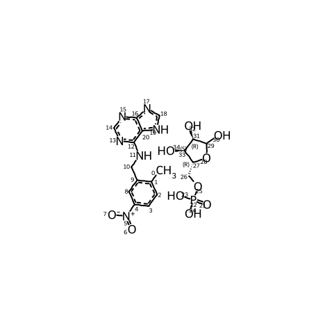 Cc1ccc([N+](=O)[O-])cc1CNc1ncnc2nc[nH]c12.O=P(O)(O)OC[C@H]1OC(O)[C@H](O)[C@@H]1O